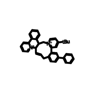 CC(C)(C)c1cc[n+]2c(c1)-c1cc(-c3ccccc3)ccc1C/C=C/C1C(C2)c2ccccc2-c2cccc[n+]21